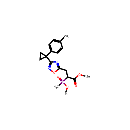 CCOP(C)(=O)C(Cc1nc(C2(c3ccc(C)cc3)CC2)no1)C(=O)OC(C)(C)C